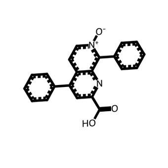 O=C(O)c1cc(-c2ccccc2)c2cc[n+]([O-])c(-c3ccccc3)c2n1